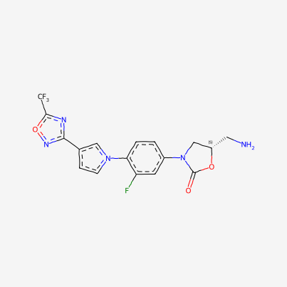 NC[C@H]1CN(c2ccc(-n3ccc(-c4noc(C(F)(F)F)n4)c3)c(F)c2)C(=O)O1